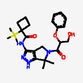 CC1(C)c2[nH]nc(NC(=O)C3(S(C)(C)C)CCC3)c2CN1C(=O)C(CO)Oc1ccccc1